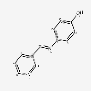 Oc1ccc(N=Cc2cccnc2)cc1